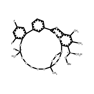 Cc1c([C@H](OC(C)(C)C)C(=O)O)c2n3cc(nc3c1C)-c1cccc(c1)-c1cc(F)cc(F)c1O[C@@H](C)CCCCOC1(C)CCN2CC1